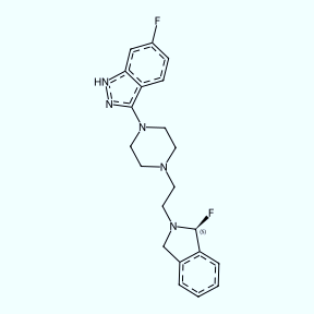 Fc1ccc2c(N3CCN(CCN4Cc5ccccc5[C@@H]4F)CC3)n[nH]c2c1